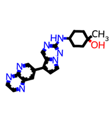 CC1(O)CCC(Nc2ncc3c(-c4cnc5nccnc5c4)ccn3n2)CC1